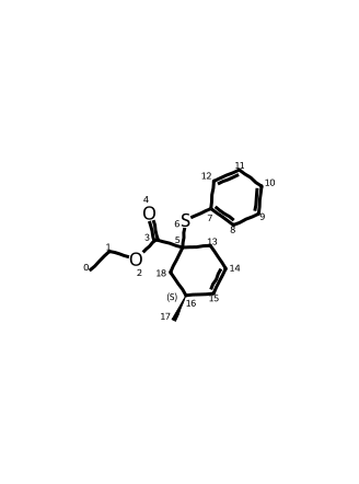 CCOC(=O)C1(Sc2ccccc2)CC=C[C@@H](C)C1